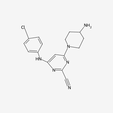 N#Cc1nc(Nc2ccc(Cl)cc2)cc(N2CCC(N)CC2)n1